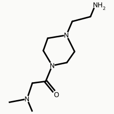 CN(C)CC(=O)N1CCN(CCN)CC1